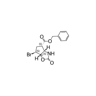 O=C1N[C@@H]2[C@H](O1)[C@@H](Br)C[C@@H]2C(=O)OCc1ccccc1